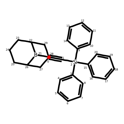 C(#C[Si](c1ccccc1)(c1ccccc1)c1ccccc1)B1C2CCCC1CCC2